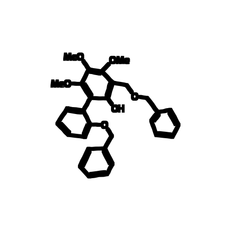 COc1c(COCc2ccccc2)c(O)c(-c2ccccc2OCc2ccccc2)c(OC)c1OC